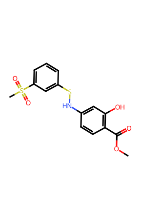 COC(=O)c1ccc(NSc2cccc(S(C)(=O)=O)c2)cc1O